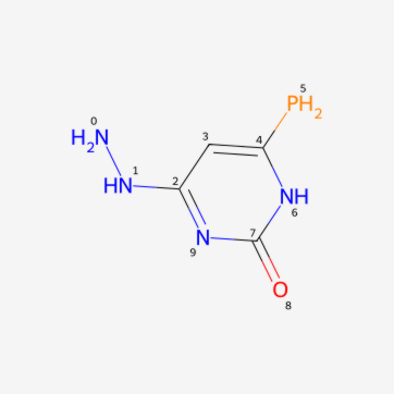 NNc1cc(P)[nH]c(=O)n1